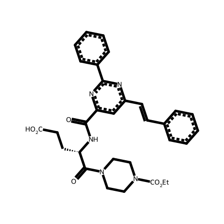 CCOC(=O)N1CCN(C(=O)[C@H](CCC(=O)O)NC(=O)c2cc(C=Cc3ccccc3)nc(-c3ccccc3)n2)CC1